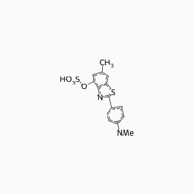 CNc1ccc(-c2nc3c(OS(=O)(=O)O)cc(C)cc3s2)cc1